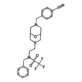 N#Cc1ccc(CN2CC3CN(CCN(Cc4ccccc4)S(=O)(=O)C(F)(F)F)CC(C2)O3)cc1